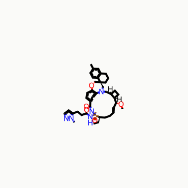 CC[C@@H]1CC/C=C/[C@H](OC)[C@@H]2CC[C@H]2CN2C[C@@]3(CCCc4cc(C)ccc43)COc3ccc(cc32)C(=O)N=[S@@]1(=O)NC(=O)CCc1ccnn1C